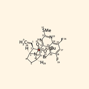 C=C[C@@H]1[C@@H]2CC[C@H](CN1c1nc(SC)nc3c(F)cc(F)c(Br)c13)N2C(=O)OC(C)(C)C